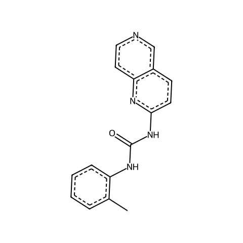 Cc1ccccc1NC(=O)Nc1ccc2cnccc2n1